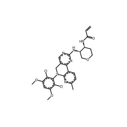 C=CC(=O)N[C@H]1CCOC[C@H]1Nc1ncc2c(n1)-c1ccc(C)nc1N(c1c(Cl)c(OC)cc(OC)c1Cl)C2